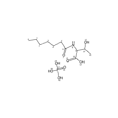 CCCCCCC(=O)NC(C(=O)O)C(C)O.O=P(O)(O)O